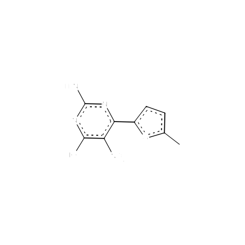 Cc1ccc(-c2nc(N)nc(O)c2[N+](=O)[O-])o1